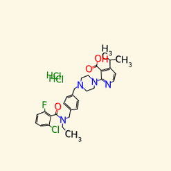 CCN(Cc1ccc(CN2CCN(c3nccc(C(C)C)c3C(=O)O)CC2)cc1)C(=O)c1c(F)cccc1Cl.Cl.Cl